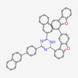 c1ccc2cc(C3=NC(c4ccc(-c5ccc6ccccc6c5)cc4)=NC(c4cccc5oc6ccc(-c7cccc8c7oc7ccccc78)cc6c45)N3)ccc2c1